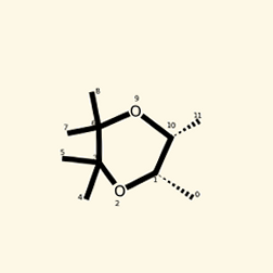 C[C@@H]1OC(C)(C)C(C)(C)O[C@@H]1C